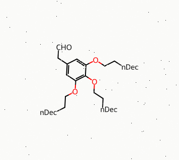 CCCCCCCCCCCCOc1cc(CC=O)cc(OCCCCCCCCCCCC)c1OCCCCCCCCCCCC